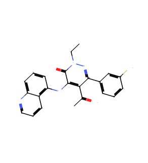 CCn1nc(-c2cccc(F)c2)c(C(C)=O)c(Nc2cccc3ncccc23)c1=O